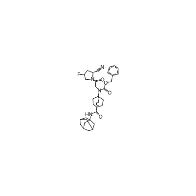 N#C[C@@H]1C[C@H](F)CN1C(=O)CN(C(=O)OCc1ccccc1)C12CCC(C(=O)NC34CC5CC(CC(C5)C3)C4)(CC1)CC2